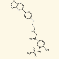 CS(=O)(=O)Nc1cc([C@@H](O)CNCCOc2ccc(-c3ccc4c(c3)OCO4)cc2)ccc1O